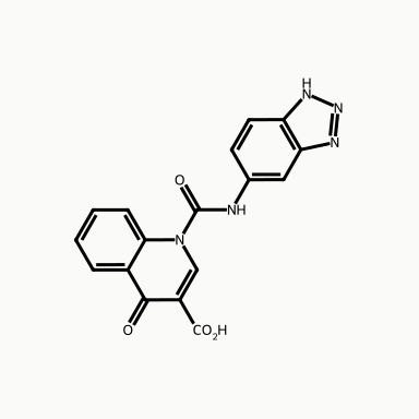 O=C(O)c1cn(C(=O)Nc2ccc3[nH]nnc3c2)c2ccccc2c1=O